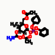 CC(=O)OC[C@H]1O[C@H](OP(=O)(Oc2ccccc2)Oc2ccccc2)[C@@H](OC(C)=O)[C@@H](OC(N)=O)[C@@H]1C